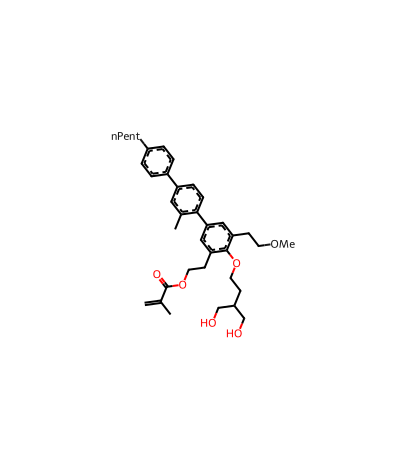 C=C(C)C(=O)OCCc1cc(-c2ccc(-c3ccc(CCCCC)cc3)cc2C)cc(CCOC)c1OCCC(CO)CO